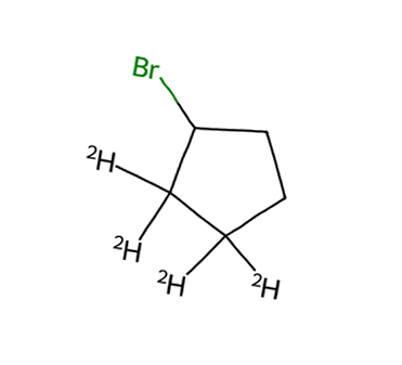 [2H]C1([2H])CCC(Br)C1([2H])[2H]